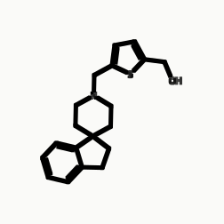 OCc1ccc(CN2CCC3(CCc4ccccc43)CC2)s1